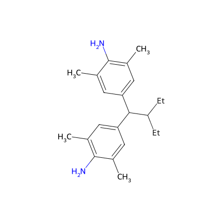 CCC(CC)C(c1cc(C)c(N)c(C)c1)c1cc(C)c(N)c(C)c1